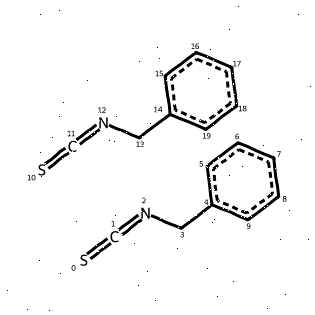 S=C=NCc1ccccc1.S=C=NCc1ccccc1